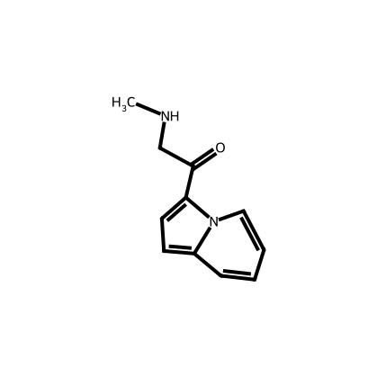 CNCC(=O)c1ccc2ccccn12